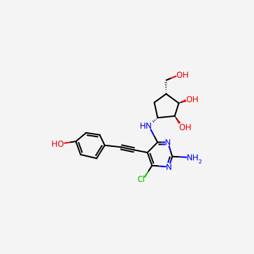 Nc1nc(Cl)c(C#Cc2ccc(O)cc2)c(N[C@@H]2C[C@H](CO)[C@@H](O)[C@H]2O)n1